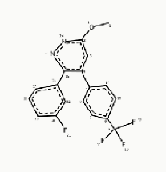 COc1cc(-c2ccc(C(F)(F)F)cc2)c(-c2cccc(F)c2)nn1